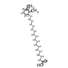 Cc1c(CCCCCCCCCCCCCCCCCCC(=O)O)ccc[n+]1C